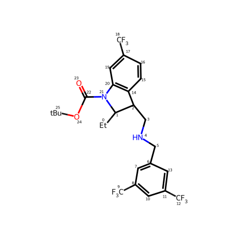 CCC1C(CNCc2cc(C(F)(F)F)cc(C(F)(F)F)c2)c2ccc(C(F)(F)F)cc2N1C(=O)OC(C)(C)C